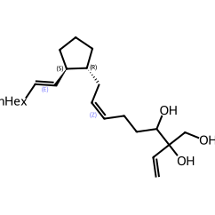 C=CC(O)(CO)C(O)CC/C=C\C[C@H]1CCC[C@@H]1/C=C/CCCCCC